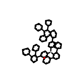 c1ccc(-c2cccc(-c3ccc(N(c4ccc(-c5cccc6c(-c7ccccc7)c(-c7ccccc7)c7ccccc7c56)cc4)c4c(-c5ccccc5)cccc4-c4ccccc4)cc3)c2-c2ccccc2)cc1